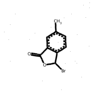 Cc1ccc2c(c1)C(=O)OC2Br